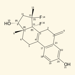 C=C1CC2=C(CC[C@]3(C)[C@H](O)C[C@](C)(F)[C@@]23F)c2ccc(O)cc21